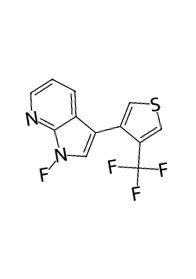 Fn1cc(-c2cscc2C(F)(F)F)c2cccnc21